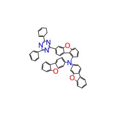 C1=CCCC(c2nc(-c3ccccc3)nc(-c3ccc4c(c3)oc3cccc(N(c5ccc6c(c5)oc5ccccc56)c5ccc6c(c5)oc5ccccc56)c34)n2)=C1